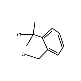 CC(C)(Cl)c1ccccc1CCl